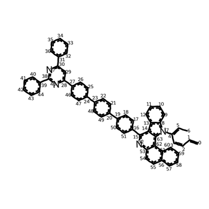 C=C/C=C\C(=C/C)n1c2ccccc2c2c(-c3ccc(-c4ccc(-c5ccc(-c6cc(-c7ccccc7)nc(-c7ccccc7)n6)cc5)cc4)cc3)nc3ccc4ccccc4c3c21